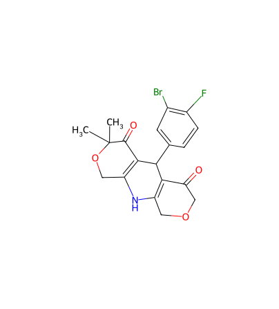 CC1(C)OCC2=C(C1=O)C(c1ccc(F)c(Br)c1)C1=C(COCC1=O)N2